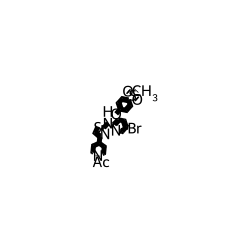 CC(=O)N1CCC(c2csc(Nc3ncc(Br)cc3Oc3ccc(S(C)(=O)=O)cc3)n2)CC1